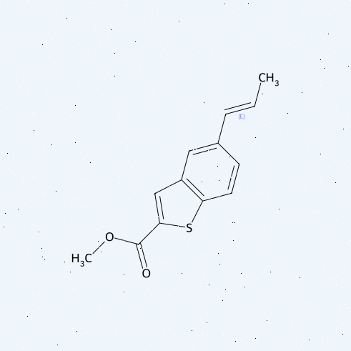 C/C=C/c1ccc2sc(C(=O)OC)cc2c1